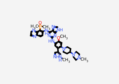 CN/C=C(\C=N)c1cc(Nc2nc(Nc3ccc4nccnc4c3P(C)(C)=O)c3nc[nH]c3n2)c(OC)cc1N1CCC(N2CCN(C)CC2)CC1